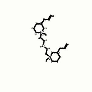 C=CCC1CCC[N+](C)(CCOCC[N+]2(C)CCCC(CC=C)C2)C1